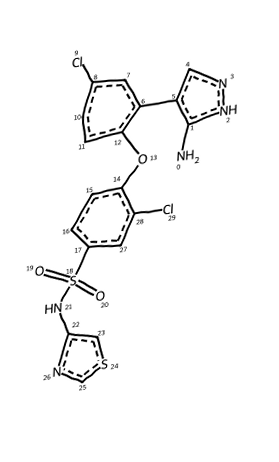 Nc1[nH]ncc1-c1cc(Cl)ccc1Oc1ccc(S(=O)(=O)Nc2cscn2)cc1Cl